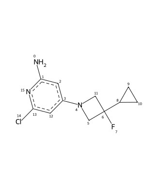 Nc1cc(N2CC(F)(C3CC3)C2)cc(Cl)n1